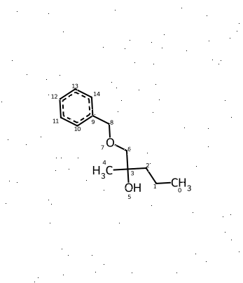 CCCC(C)(O)COCc1ccccc1